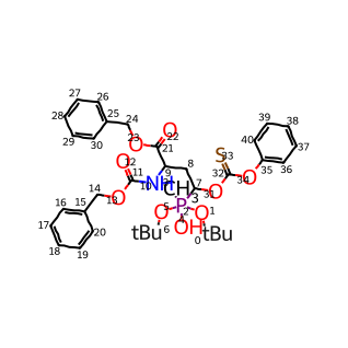 CC(C)(C)OP(C)(O)(OC(C)(C)C)C(CC(NC(=O)OCc1ccccc1)C(=O)OCc1ccccc1)OC(=S)Oc1ccccc1